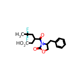 CC(F)(F)CC(CC(=O)O)C(=O)N1C(=O)OCC1Cc1ccccc1